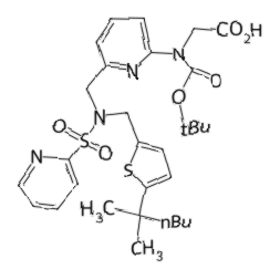 CCCCC(C)(C)c1ccc(CN(Cc2cccc(N(CC(=O)O)C(=O)OC(C)(C)C)n2)S(=O)(=O)c2ccccn2)s1